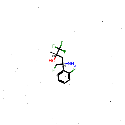 C[C@](O)(C[C@@](N)(CF)c1ccccc1F)C(F)(F)F